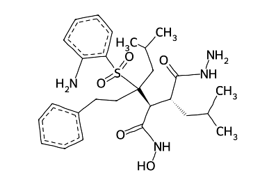 CC(C)C[C@@H](C(=O)NN)[C@@H](C(=O)NO)C(CCc1ccccc1)(CC(C)C)S(=O)(=O)c1ccccc1N